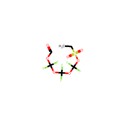 CCS(=O)(=O)OC(F)(F)OC(F)(F)OC(F)(F)OC=O